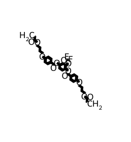 C=CC(=O)OCCCCOc1ccc(C(=O)Oc2ccc(OC(=O)c3ccc(OCCCCOC(=O)C=C)cc3)c3c2OC(F)(F)O3)cc1